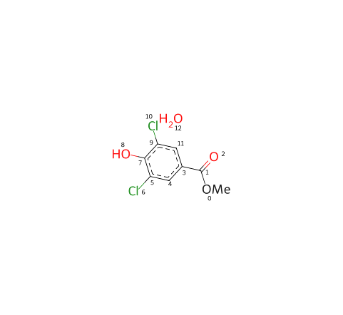 COC(=O)c1cc(Cl)c(O)c(Cl)c1.O